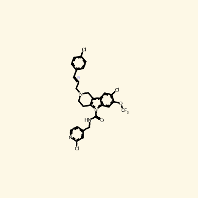 O=C(NCc1ccnc(Cl)c1)n1c2c(c3cc(Cl)c(OC(F)(F)F)cc31)CN(C/C=C/c1ccc(Cl)cc1)CC2